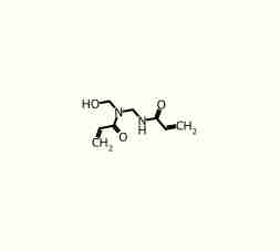 C=CC(=O)NCN(CO)C(=O)C=C